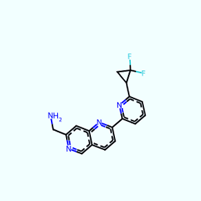 NCc1cc2nc(-c3cccc(C4CC4(F)F)n3)ccc2cn1